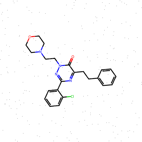 O=c1c(CCc2ccccc2)nc(-c2ccccc2Cl)nn1CCN1CCOCC1